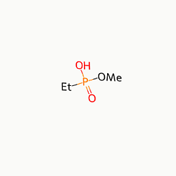 [CH2]CP(=O)(O)OC